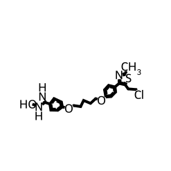 Cc1nc(-c2ccc(OCCCCCOc3ccc(C(=N)NO)cc3)cc2)c(CCCl)s1